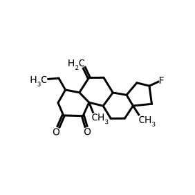 C=C1CC2C3CC(F)CC3(C)CCC2C2(C)C(=O)C(=O)CC(CC)C12